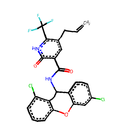 C=CCc1cc(C(=O)NC2c3ccc(Cl)cc3Oc3cccc(Cl)c32)c(=O)[nH]c1C(F)(F)F